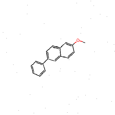 COc1ccc2cc(-c3ccccc3)ccc2c1